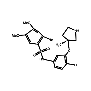 COc1cc(Br)c(S(=O)(=O)Nc2ccc(Cl)c(O[C@]3(C)CCNC3)c2)cc1OC